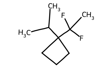 CC(C)C1(C(C)(F)F)CCC1